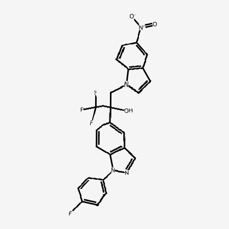 O=[N+]([O-])c1ccc2c(ccn2CC(O)(c2ccc3c(cnn3-c3ccc(F)cc3)c2)C(F)(F)F)c1